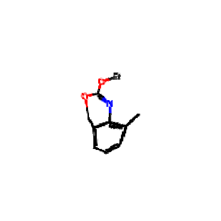 CCOC1=Nc2c(C)cccc2CO1